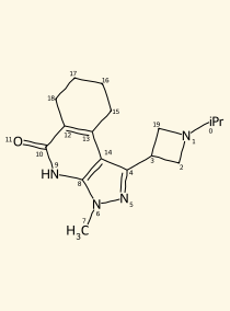 CC(C)N1CC(c2nn(C)c3[nH]c(=O)c4c(c23)CCCC4)C1